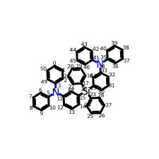 c1ccc(N(c2ccccc2)c2cccc([Si](c3ccccc3)(c3ccccc3)c3cccc(N(c4ccccc4)c4ccccc4)c3)c2)cc1